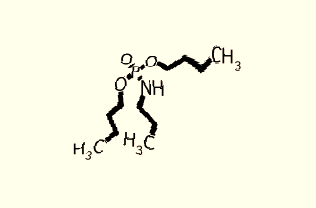 CCCCOP(=O)(NCCC)OCCCC